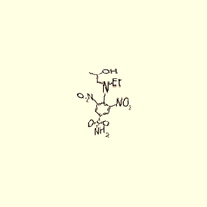 CCN(CC(C)O)c1c([N+](=O)[O-])cc(S(N)(=O)=O)cc1[N+](=O)[O-]